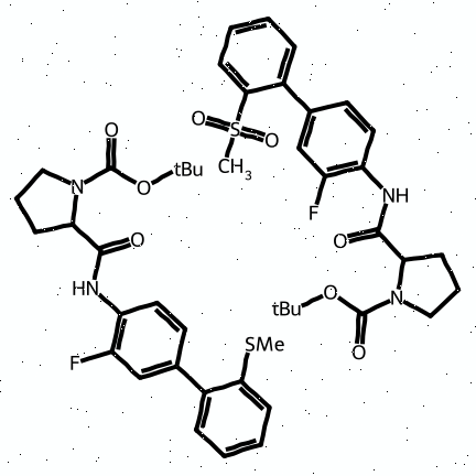 CC(C)(C)OC(=O)N1CCCC1C(=O)Nc1ccc(-c2ccccc2S(C)(=O)=O)cc1F.CSc1ccccc1-c1ccc(NC(=O)C2CCCN2C(=O)OC(C)(C)C)c(F)c1